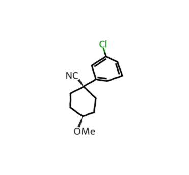 CO[C@H]1CC[C@](C#N)(c2cccc(Cl)c2)CC1